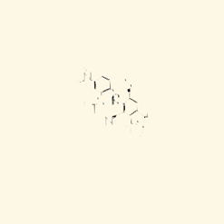 CCN1C(=O)c2cc(C#N)c(/N=N/c3ccc(N(CC)CC)cc3NC(C)=O)c(C#N)c2C1=O